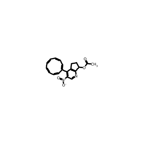 CC(=O)OC1CCc2c1ncc([N+](=O)[O-])c2-c1ccccccccc1